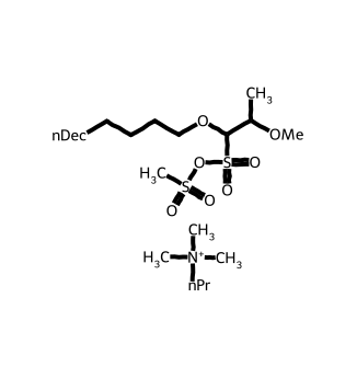 CCCCCCCCCCCCCCOC(C(C)OC)S(=O)(=O)OS(C)(=O)=O.CCC[N+](C)(C)C